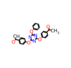 CC(=O)c1ccc(Oc2nc(Oc3ccccc3)nc(Oc3ccc(C(C)=O)cc3)n2)cc1